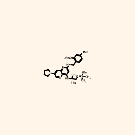 CCCC[C@](C)(CO[Si](C)(C)C(C)(C)C)Nc1cc(NCc2ccc(OC)cc2OC)nc2cc(N3CCCC3)cnc12